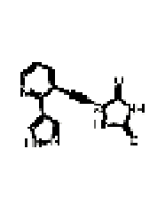 O=C1NC(=O)[C@H](C#Cc2cccnc2-c2cn[nH]c2)N1